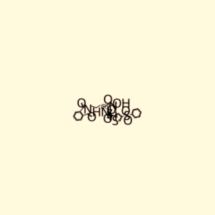 O=C(NO)[C@@H](CCCN1C(=O)c2ccccc2C1=O)NS(=O)(=O)c1cc(S(=O)(=O)c2ccccc2)cs1